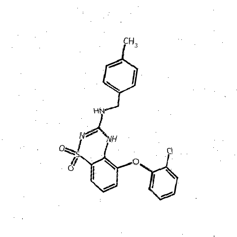 Cc1ccc(CNC2=NS(=O)(=O)c3cccc(Oc4ccccc4Cl)c3N2)cc1